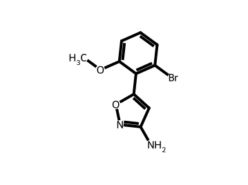 COc1cccc(Br)c1-c1cc(N)no1